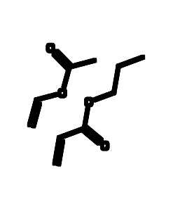 C=CC(=O)OCCC.C=COC(C)=O